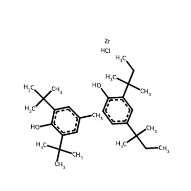 CCC(C)(C)c1ccc(O)c(C(C)(C)CC)c1.Cc1cc(C(C)(C)C)c(O)c(C(C)(C)C)c1.Cl.[Zr]